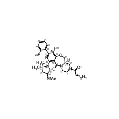 C=CC(=O)N1CCN2C(=O)c3c(N4CC(NC)CC4(C)C)nc(-c4ccccc4F)c(F)c3OC[C@H]2C1